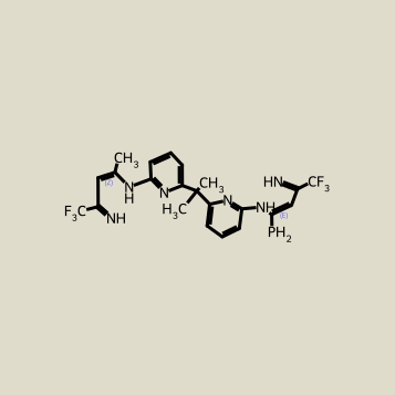 C/C(=C/C(=N)C(F)(F)F)Nc1cccc(C(C)(C)c2cccc(N/C(P)=C\C(=N)C(F)(F)F)n2)n1